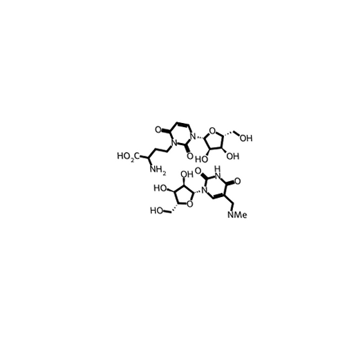 CNCc1cn([C@@H]2O[C@H](CO)[C@@H](O)[C@H]2O)c(=O)[nH]c1=O.NC(CCn1c(=O)ccn([C@@H]2O[C@H](CO)[C@@H](O)[C@H]2O)c1=O)C(=O)O